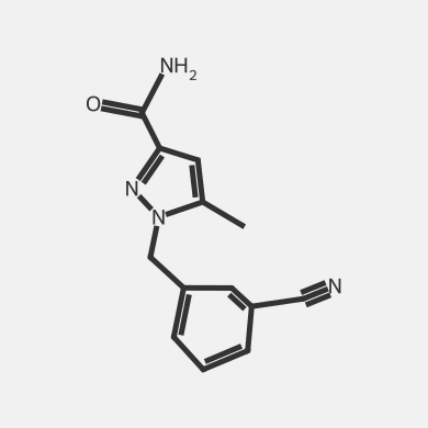 Cc1cc(C(N)=O)nn1Cc1cccc(C#N)c1